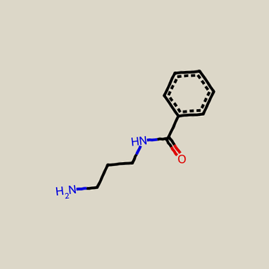 NCCCNC(=O)c1ccccc1